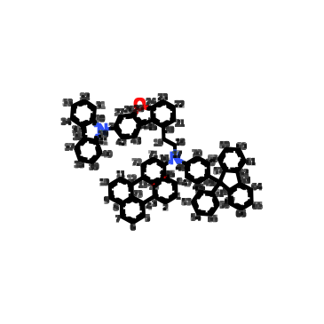 c1ccc(-c2cccc3cccc(-c4ccc(N(CCc5cccc6oc7cc(-n8c9ccccc9c9ccccc98)ccc7c56)c5ccc(C6(c7ccccc7)c7ccccc7-c7ccccc76)cc5)cc4)c23)cc1